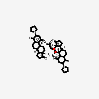 C[C@]12/C(=N\OC(=O)/C=C/C(=O)O/N=C3/CC(N4CCCC4)C(F)C4CC[C@@H]5[C@@H](CC[C@]6(C)C(=O)CC[C@@H]56)[C@@]34C)CC(N3CCCC3)C(F)C1CC[C@@H]1[C@H]2CC[C@]2(C)C(=O)CC[C@@H]12